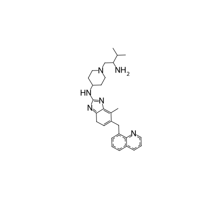 CC1=C2N=C(NC3CCN(CC(N)C(C)C)CC3)N=C2CC=C1Cc1cccc2cccnc12